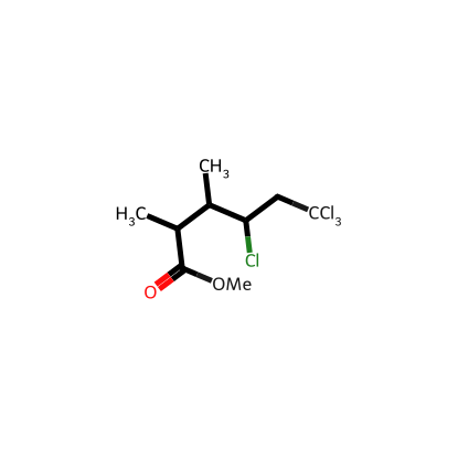 COC(=O)C(C)C(C)C(Cl)CC(Cl)(Cl)Cl